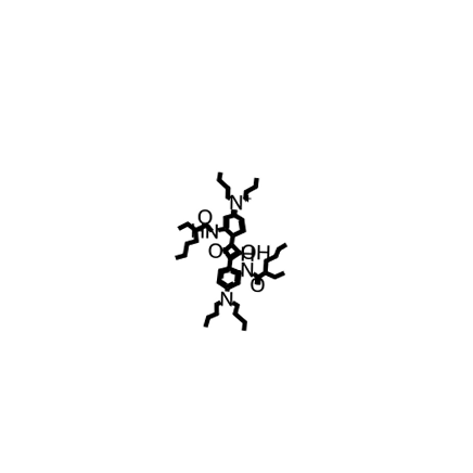 CCCCC(CC)C(=O)NC1=CC(=[N+](CCCC)CCCC)C=CC1C1C(=O)C(c2ccc(N(CCCC)CCCC)cc2NC(=O)C(CC)CCCC)=C1O